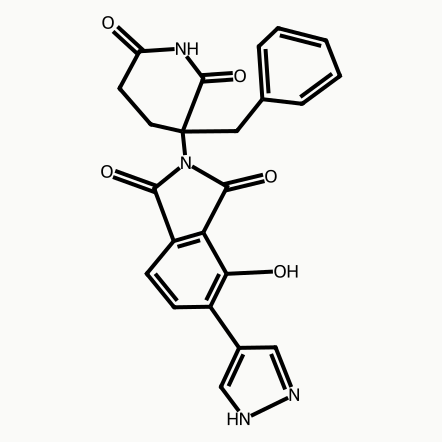 O=C1CCC(Cc2ccccc2)(N2C(=O)c3ccc(-c4cn[nH]c4)c(O)c3C2=O)C(=O)N1